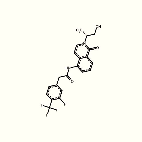 C[C@H](CO)n1ccc2c(NC(=O)Cc3ccc(C(F)(F)F)c(F)c3)cccc2c1=O